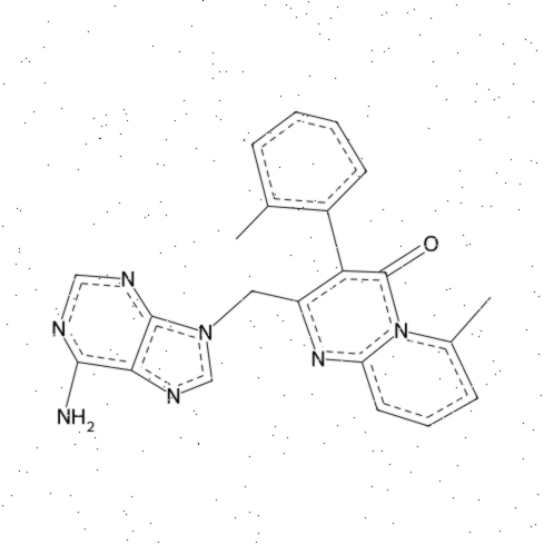 Cc1ccccc1-c1c(Cn2cnc3c(N)ncnc32)nc2cccc(C)n2c1=O